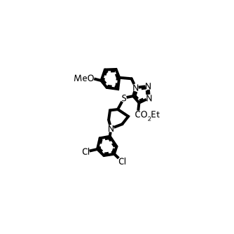 CCOC(=O)c1nnn(Cc2ccc(OC)cc2)c1SC1CCN(c2cc(Cl)cc(Cl)c2)CC1